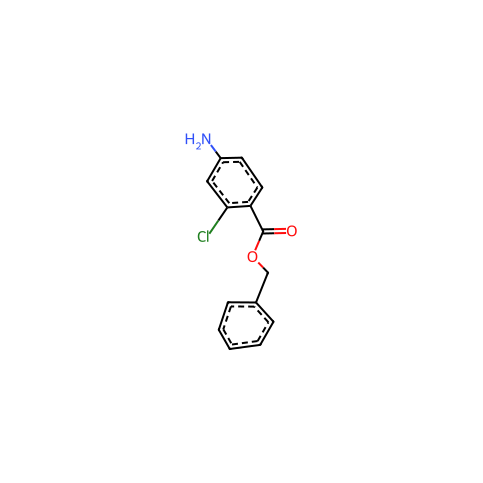 Nc1ccc(C(=O)OCc2ccccc2)c(Cl)c1